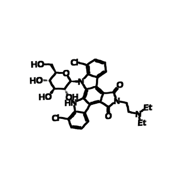 CCN(CC)CCN1C(=O)c2c(c3c4cccc(Cl)c4n([C@@H]4O[C@H](CO)[C@@H](O)[C@H](O)[C@H]4O)c3c3[nH]c4c(Cl)cccc4c23)C1=O